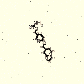 NC(=O)OCc1ccc(OCC2CCn3ccnc3C2)nc1